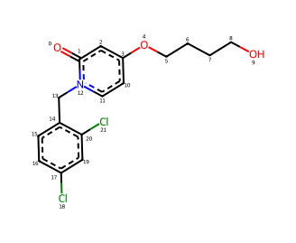 O=c1cc(OCCCCO)ccn1Cc1ccc(Cl)cc1Cl